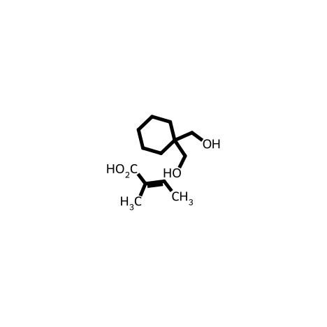 CC=C(C)C(=O)O.OCC1(CO)CCCCC1